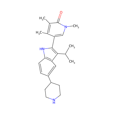 Cc1c(-c2[nH]c3ccc(C4CCNCC4)cc3c2C(C)C)cn(C)c(=O)c1C